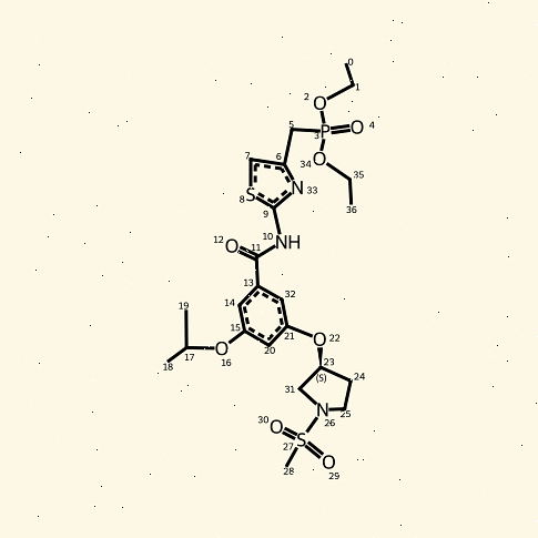 CCOP(=O)(Cc1csc(NC(=O)c2cc(OC(C)C)cc(O[C@H]3CCN(S(C)(=O)=O)C3)c2)n1)OCC